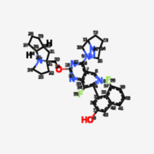 Oc1cc(-c2ncc3c(N4CC5CCC(C4)N5)nc(OC[C@@]45CCCN4[C@H]4CCC[C@H]4C5)nc3c2F)c2c(F)cccc2c1